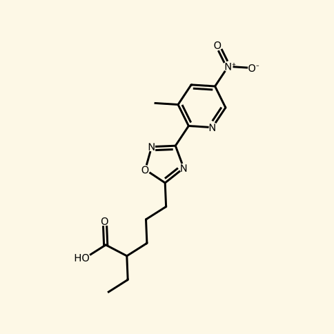 CCC(CCCc1nc(-c2ncc([N+](=O)[O-])cc2C)no1)C(=O)O